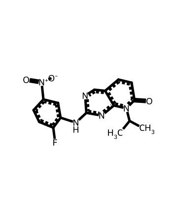 CC(C)n1c(=O)ccc2cnc(Nc3cc([N+](=O)[O-])ccc3F)nc21